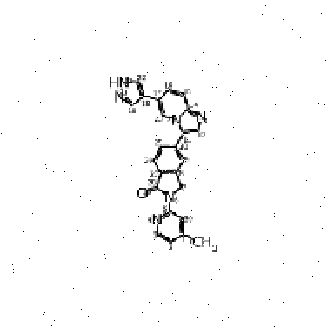 Cc1ccnc(N2Cc3cc(-c4cnc5ccc(-c6cn[nH]c6)cn45)ccc3C2=O)c1